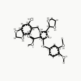 COC(=O)c1c(Sc2ccc(OC)c(OC)c2)nc(C2OCCO2)n1Cc1cc2c(cc1Cl)OCO2